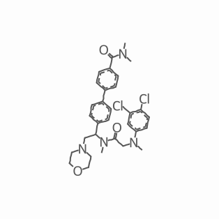 CN(C)C(=O)c1ccc(-c2ccc(C(CN3CCOCC3)N(C)C(=O)CN(C)c3ccc(Cl)c(Cl)c3)cc2)cc1